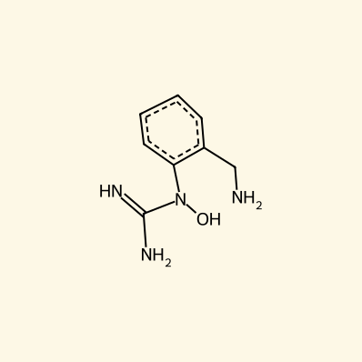 N=C(N)N(O)c1ccccc1CN